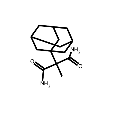 CC(C(N)=O)(C(N)=O)C12CC3CC(CC(C3)C1)C2